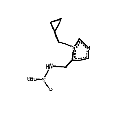 CC(C)(C)[S+]([O-])NCc1cncn1CC1CC1